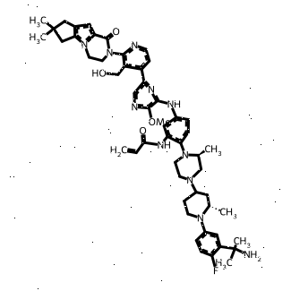 C=CC(=O)Nc1cc(Nc2nc(-c3ccnc(N4CCn5c(cc6c5CC(C)(C)C6)C4=O)c3CO)cnc2OC)ccc1N1CCN(C2CCN(c3ccc(F)c(C(C)(C)N)c3)[C@@H](C)C2)C[C@@H]1C